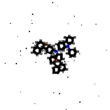 c1ccc(-c2cccc3cccc(-c4ccc(N(c5ccc6c(c5)sc5ccc7ccccc7c56)c5ccc6c7ccccc7n(-c7ccccc7)c6c5)cc4)c23)cc1